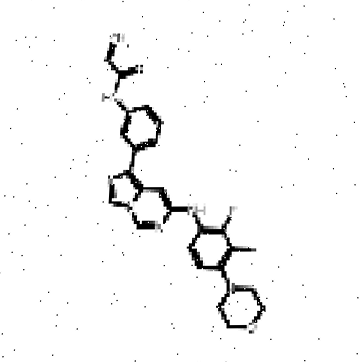 C=CC(=O)Nc1cccc(-c2ncn3cnc(Nc4ccc(N5CCOCC5)c(F)c4F)cc23)c1